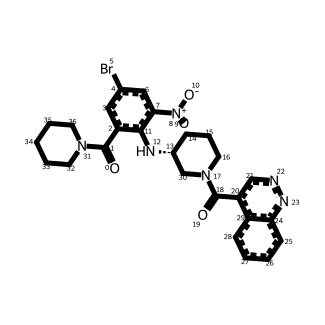 O=C(c1cc(Br)cc([N+](=O)[O-])c1N[C@@H]1CCCN(C(=O)c2cnnc3ccccc23)C1)N1CCCCC1